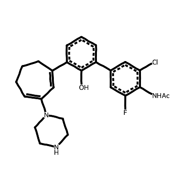 CC(=O)Nc1c(F)cc(-c2cccc(C3=CC(N4CCNCC4)=CCCC3)c2O)cc1Cl